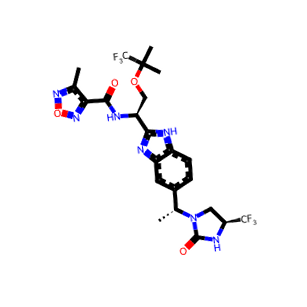 Cc1nonc1C(=O)N[C@@H](COC(C)(C)C(F)(F)F)c1nc2cc([C@@H](C)N3C[C@@H](C(F)(F)F)NC3=O)ccc2[nH]1